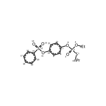 CCCSP(=O)(OCC)Oc1ccc(OS(=O)(=O)c2ccccc2)cc1